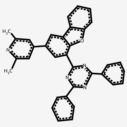 Cc1cc(-c2cc(-c3nc(-c4ccccc4)nc(-c4ccccc4)n3)c3oc4ccccc4c3c2)cc(C)n1